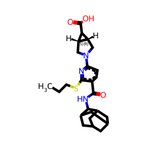 CCCSc1nc(N2C[C@@H]3C(C(=O)O)[C@@H]3C2)ccc1C(=O)NC1C2CC3CC(C2)CC1C3